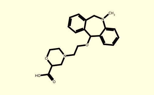 CN1Cc2ccccc2C(OCCN2CCOC(C(=O)O)C2)c2ccccc21